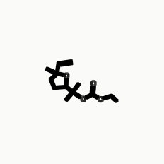 C=CC1(C)CCC(C(C)(C)OC(=O)OCC)O1